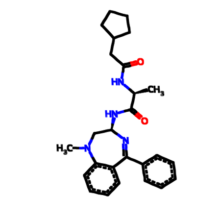 C[C@H](NC(=O)CC1CCCC1)C(=O)N[C@@H]1CN(C)c2ccccc2C(c2ccccc2)=N1